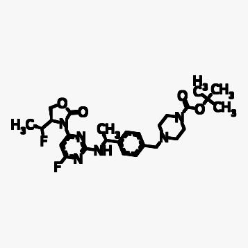 C[C@H](Nc1nc(F)cc(N2C(=O)OC[C@@H]2[C@H](C)F)n1)c1ccc(CN2CCN(C(=O)OC(C)(C)C)CC2)cc1